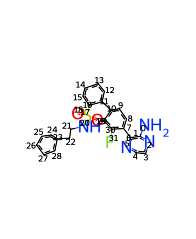 Nc1nccnc1-c1ccc(-c2ccccc2S(=O)(=O)NCCc2ccccc2)cc1F